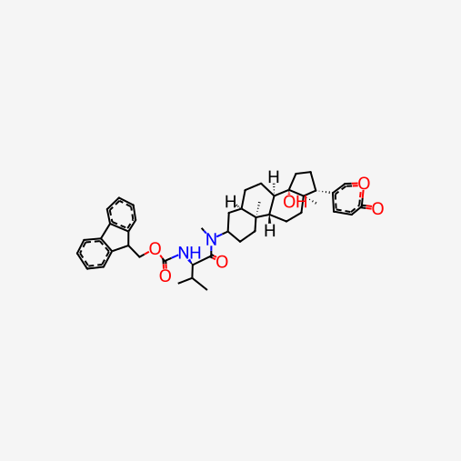 CC(C)[C@@H](NC(=O)OCC1c2ccccc2-c2ccccc21)C(=O)N(C)C1CC[C@@]2(C)[C@H](CC[C@@H]3[C@@H]2CC[C@]2(C)[C@@H](c4ccc(=O)oc4)CC[C@]32O)C1